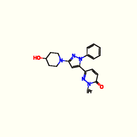 CC(C)n1nc(-c2cc(N3CCC(O)CC3)nn2-c2ccccc2)ccc1=O